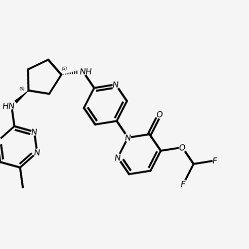 Cc1cnc(N[C@H]2CC[C@H](Nc3ccc(-n4nccc(OC(F)F)c4=O)cn3)C2)nn1